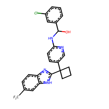 OC(Nc1ccc(C2(c3nc4ccc(C(F)(F)F)cc4[nH]3)CCC2)cn1)c1cccc(Cl)c1